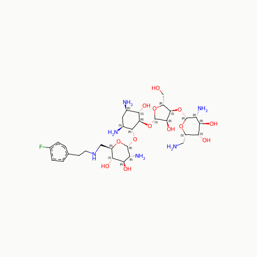 NC[C@@H]1O[C@H](O[C@H]2[C@@H](O)[C@H](O[C@@H]3[C@@H](O)[C@H](N)C[C@H](N)[C@H]3O[C@H]3O[C@H](CNCCc4ccc(F)cc4)[C@@H](O)[C@H](O)[C@H]3N)O[C@@H]2CO)[C@H](N)[C@@H](O)[C@@H]1O